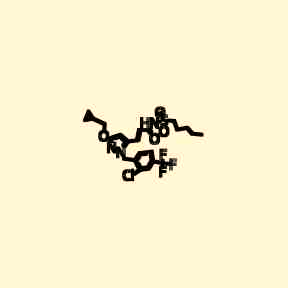 CCCCCS(=O)(=O)NC(=O)C=Cc1cc(OCC2CC2)nn1Cc1ccc(C(F)(F)F)cc1Cl